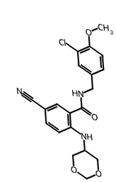 COc1ccc(CNC(=O)c2cc(C#N)ccc2NC2COCOC2)cc1Cl